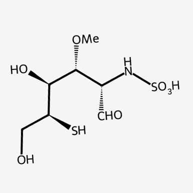 CO[C@@H]([C@H](O)[C@@H](S)CO)[C@@H](C=O)NS(=O)(=O)O